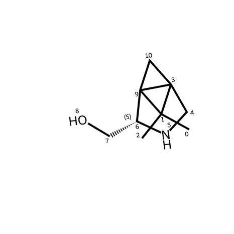 CC1(C)C23CN[C@H](CO)C12C3